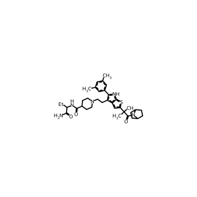 CCC(NC(=O)C1CCN(CCc2c(-c3cc(C)cc(C)c3)[nH]c3sc(C(C)(C)C(=O)N4C5CCC4CC5)cc23)CC1)C(N)=O